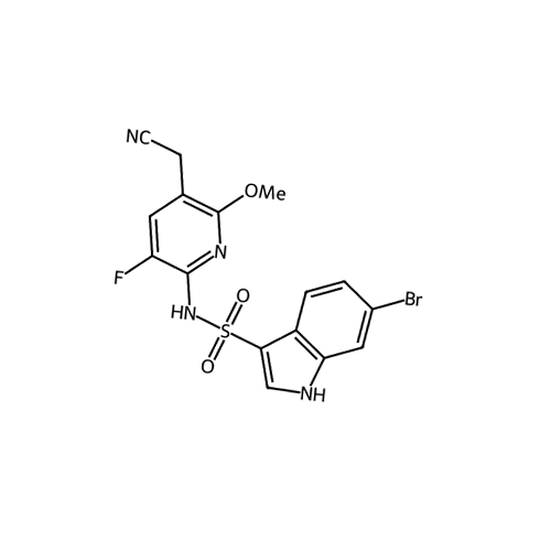 COc1nc(NS(=O)(=O)c2c[nH]c3cc(Br)ccc23)c(F)cc1CC#N